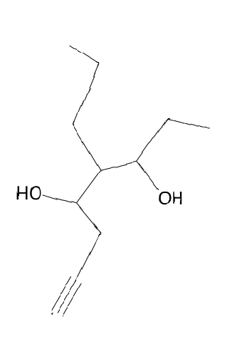 [C]#CCC(O)C(CCC)C(O)CC